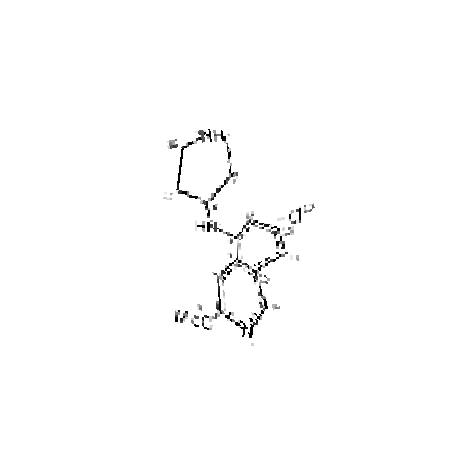 COc1cc2c(NC3CCNCC3)cccc2cn1.Cl